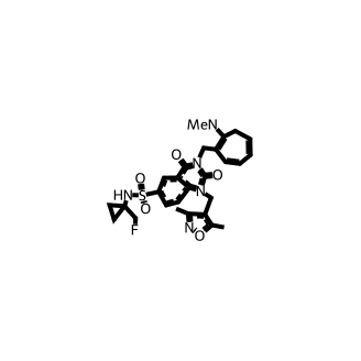 CNC1=C(Cn2c(=O)c3cc(S(=O)(=O)NC4(CF)CC4)ccc3n(Cc3c(C)noc3C)c2=O)C=CC=CC1